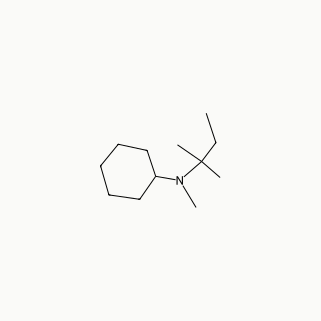 CCC(C)(C)N(C)C1CCCCC1